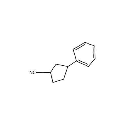 N#CC1CCC(c2ccccc2)C1